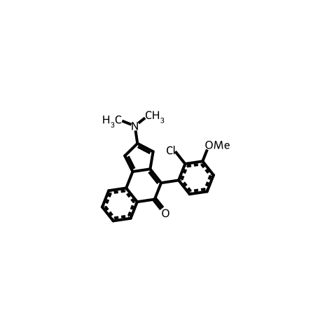 COc1cccc(C2=C3C=C(N(C)C)C=C3c3ccccc3C2=O)c1Cl